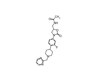 CC(=O)NCC1CN(c2ccc(C3CCN(Cc4ncccn4)CC3)c(F)c2)C(=O)O1